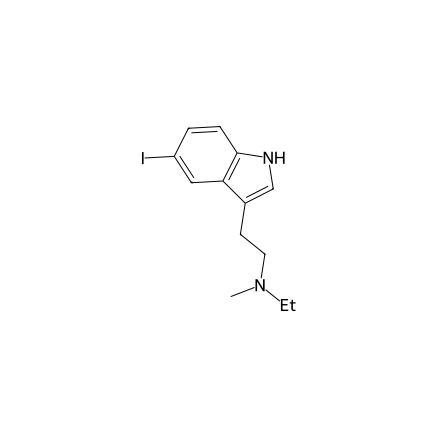 CCN(C)CCc1c[nH]c2ccc(I)cc12